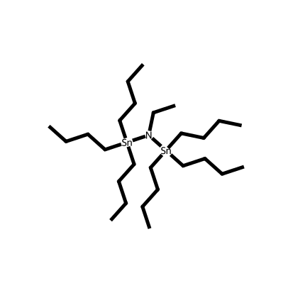 CCC[CH2][Sn]([CH2]CCC)([CH2]CCC)[N](CC)[Sn]([CH2]CCC)([CH2]CCC)[CH2]CCC